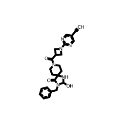 C#Cc1cnc(N2CC(C(=O)N3CCC4(CC3)NC(O)N(Cc3ccccc3)C4=O)C2)nc1